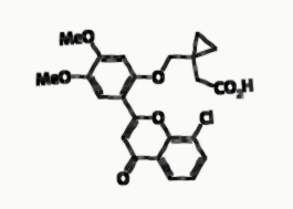 COc1cc(OCC2(CC(=O)O)CC2)c(-c2cc(=O)c3cccc(Cl)c3o2)cc1OC